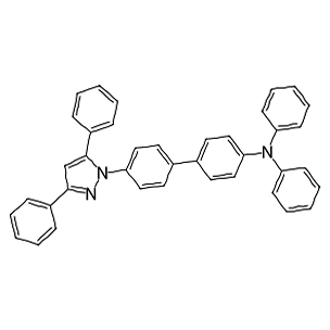 c1ccc(-c2cc(-c3ccccc3)n(-c3ccc(-c4ccc(N(c5ccccc5)c5ccccc5)cc4)cc3)n2)cc1